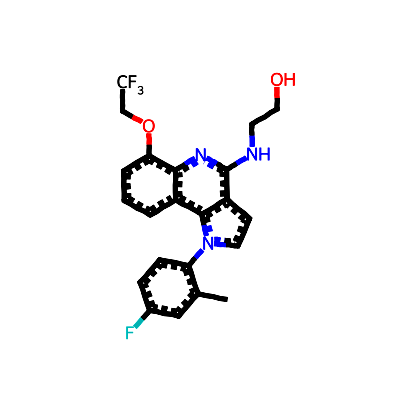 Cc1cc(F)ccc1-n1ccc2c(NCCO)nc3c(OCC(F)(F)F)cccc3c21